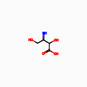 N=C(CO)C(O)S(=O)O